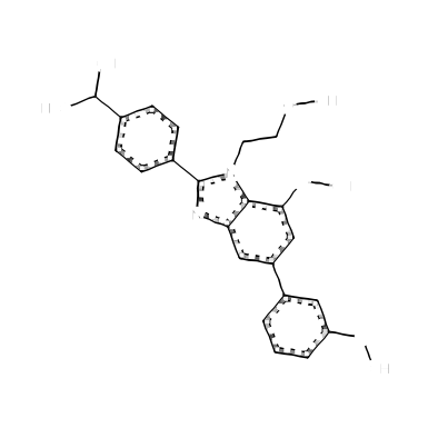 COCCn1c(-c2ccc(C(C)C)cc2)nc2cc(-c3cccc(OC)c3)cc(OC)c21